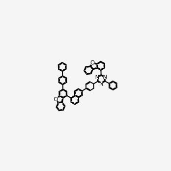 C1=CC(c2nc(-c3ccccc3)nc(-c3cccc4oc5ccccc5c34)n2)CC=C1c1ccc2c(-c3cc(-c4ccc(-c5ccccc5)cc4)cc4oc5ccccc5c34)cccc2c1